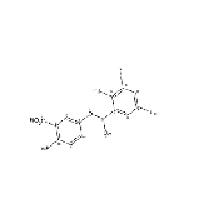 O=C(O)c1cc(OC(O)c2cc(I)cc(I)c2I)ccc1F